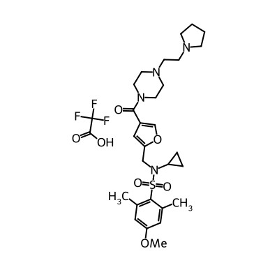 COc1cc(C)c(S(=O)(=O)N(Cc2cc(C(=O)N3CCN(CCN4CCCC4)CC3)co2)C2CC2)c(C)c1.O=C(O)C(F)(F)F